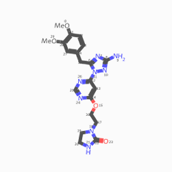 COc1ccc(Cc2nc(N)nn2-c2cc(OCCN3CCNC3=O)ncn2)cc1OC